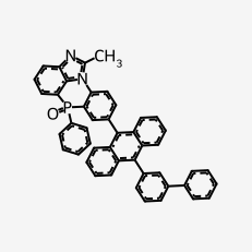 Cc1nc2cccc3c2n1-c1ccc(-c2c4ccccc4c(-c4cccc(-c5ccccc5)c4)c4ccccc24)cc1P3(=O)c1ccccc1